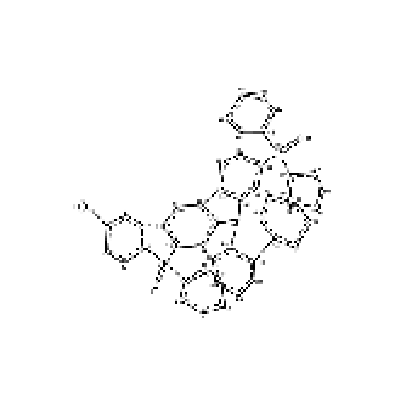 Cc1ccc(P(=O)(c2ccccc2)c2ccc3c(c2)C2(c4ccccc4-c4ccccc42)c2cc(P(=O)(c4ccccc4)c4ccccc4)ccc2-3)cc1